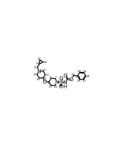 O=C(NS(=O)(=O)N1CCC(OC2CCN(CC3CC3)CC2)CC1)OCc1ccccc1